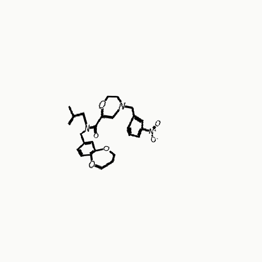 CC(C)CN(Cc1ccc2c(c1)OCCCO2)C(=O)C1CN(Cc2cccc([N+](=O)[O-])c2)CCO1